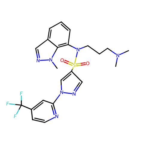 CN(C)CCCN(c1cccc2cnn(C)c12)S(=O)(=O)c1cnn(-c2cc(C(F)(F)F)ccn2)c1